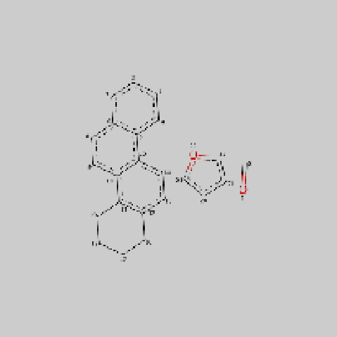 C=O.c1ccc2c(c1)ccc1c3c(ccc12)CCCC3.c1ccoc1